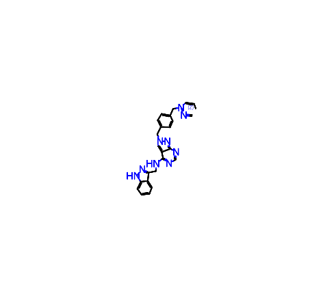 C=NN(/C=C\C)Cc1ccc(Cn2cc3c(NCc4n[nH]c5ccccc45)ncnc3n2)cc1